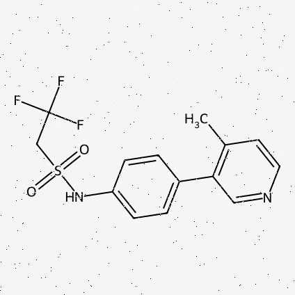 Cc1ccncc1-c1ccc(NS(=O)(=O)CC(F)(F)F)cc1